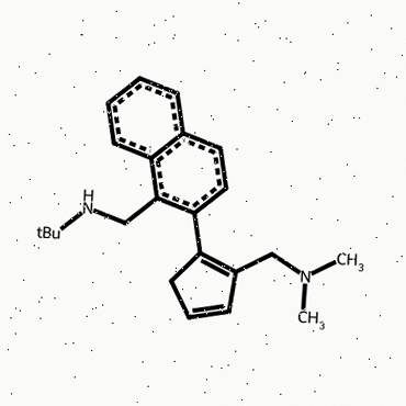 CN(C)CC1=C(c2ccc3ccccc3c2CNC(C)(C)C)CC=C1